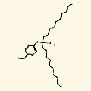 C=Cc1ccc(CC(N)(CCCCCCCCCC)CCCCCCCCCC)cc1